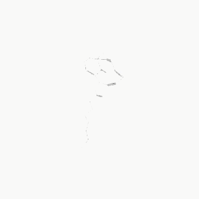 CCCCCCCC(=O)OC1C#C/C=C/C#CC2(O)CCC=C1C2=O